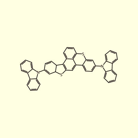 C1=CC2c3c(cc4c5c(cccc35)Sc3cc(-n5c6ccccc6c6ccccc65)ccc3-4)SC2C=C1n1c2ccccc2c2ccccc21